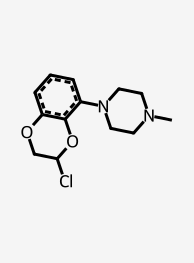 CN1CCN(c2cccc3c2OC(Cl)CO3)CC1